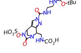 CC(C)(C)OC(=O)NCCNC(=O)n1cc2c(n1)C(CNC(=O)O)N1CC2N(OS(=O)(=O)O)C1=O